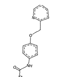 CCC(=O)Nc1ccc(OCc2ccccn2)cc1